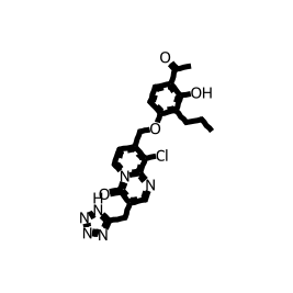 CCCc1c(OCc2ccn3c(=O)c(Cc4nnn[nH]4)cnc3c2Cl)ccc(C(C)=O)c1O